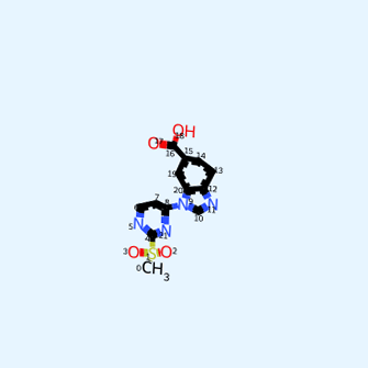 CS(=O)(=O)c1nccc(-n2cnc3ccc(C(=O)O)cc32)n1